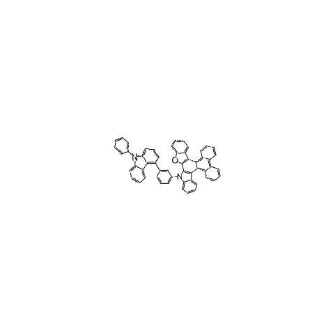 c1ccc(-n2c3ccccc3c3c(-c4cccc(-n5c6ccccc6c6c7c8ccccc8c8ccccc8c7c7c8ccccc8oc7c65)c4)cccc32)cc1